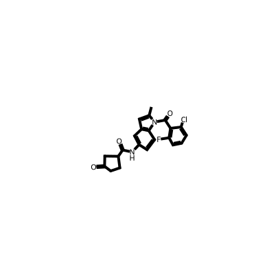 Cc1cc2cc(NC(=O)C3CCC(=O)C3)ccc2n1C(=O)c1c(F)cccc1Cl